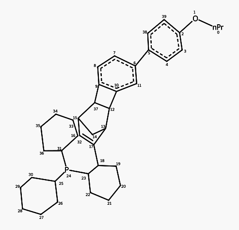 CCCOc1ccc(-c2ccc3c(c2)C2C4CC(C=C4C4CCCCC4P(C4CCCCC4)C4CCCCC4)C32)cc1